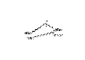 CCCCCCCCCCCCCCCCCCCC(=O)OCCCCCCCCCCCCCCC.CCCCCCCCCCCCCCCCCCCCCC(=O)OCCCCCCCCC